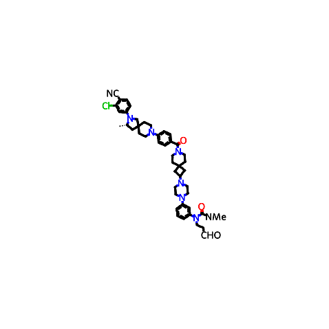 CNC(=O)N(CCC=O)c1cccc(N2CCN(C3CC4(CCN(C(=O)c5ccc(N6CCC7(CC6)C[C@H](C)N(c6ccc(C#N)c(Cl)c6)C7)cc5)CC4)C3)CC2)c1